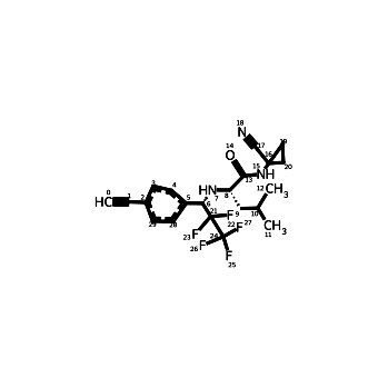 C#Cc1ccc([C@H](N[C@@H](CC(C)C)C(=O)NC2(C#N)CC2)C(F)(F)C(F)(F)F)cc1